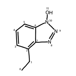 CCc1cccc2c1nnn2O